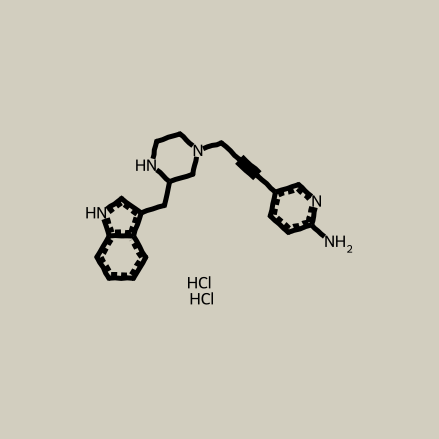 Cl.Cl.Nc1ccc(C#CCN2CCNC(Cc3c[nH]c4ccccc34)C2)cn1